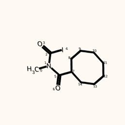 CN(C(=O)I)C(=O)C1CCCCCCC1